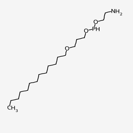 CCCCCCCCCCCCCOCCCOPOCCN